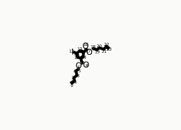 C=CCCCCOC(=O)c1cc(I)cc(C(=O)OCCCCC=C)c1